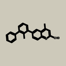 Cc1c(-c2ccccc2)cccc1-c1ccc2nc(C=O)cc(C)c2c1